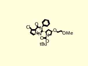 COCCO[C@H]1C[C@@H](c2nn3ccc(Cl)c3c(=O)n2-c2ccccc2)N(C(=O)OC(C)(C)C)C1